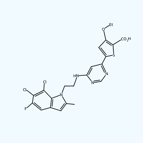 CCOc1cc(-c2cc(NCCn3c(C)cc4cc(F)c(Cl)c(Cl)c43)ncn2)sc1C(=O)O